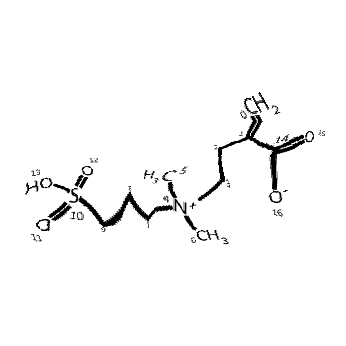 C=C(CC[N+](C)(C)CCCS(=O)(=O)O)C(=O)[O-]